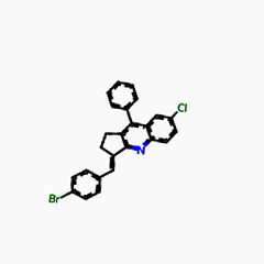 Clc1ccc2nc3c(c(-c4ccccc4)c2c1)CCC3=Cc1ccc(Br)cc1